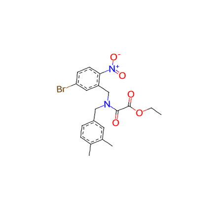 CCOC(=O)C(=O)N(Cc1ccc(C)c(C)c1)Cc1cc(Br)ccc1[N+](=O)[O-]